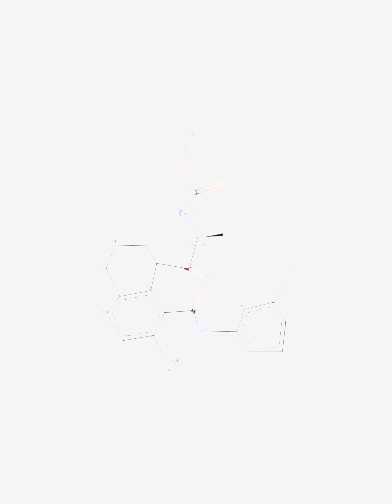 COc1ccc2c(c1C(=O)Nc1cccc(F)c1)C(C(=O)[C@H](C)NC(=O)OC(C)(C)C)CCC2